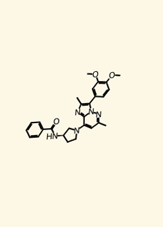 COc1ccc(-c2c(C)nc3c(N4CC[C@@H](NC(=O)c5ccccc5)C4)cc(C)nn23)cc1OC